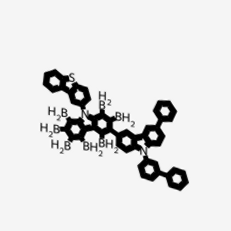 Bc1c(B)c(B)c2c(c1B)c1c(B)c(-c3ccc4c(c3)c3cc(-c5ccccc5)ccc3n4-c3cccc(-c4ccccc4)c3)c(B)c(B)c1n2-c1ccc2sc3ccccc3c2c1